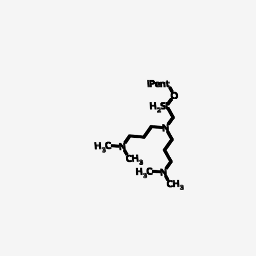 CCCC(C)O[SiH2]CN(CCCN(C)C)CCCN(C)C